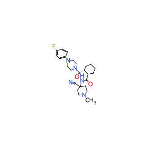 CN1CCC(C#N)(NC(=O)[C@@H]2CCCC[C@H]2C(=O)N2CCN(c3ccc(F)cc3)CC2)CC1